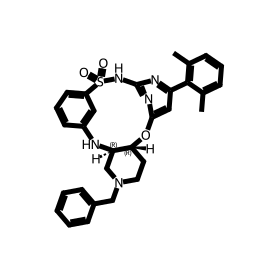 Cc1cccc(C)c1-c1cc2nc(n1)NS(=O)(=O)c1cccc(c1)N[C@@H]1CN(Cc3ccccc3)CC[C@H]1O2